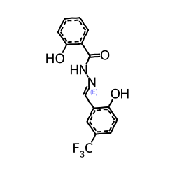 O=C(N/N=C/c1cc(C(F)(F)F)ccc1O)c1ccccc1O